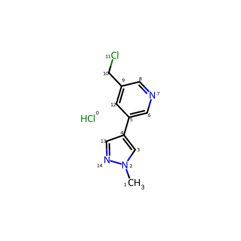 Cl.Cn1cc(-c2cncc(CCl)c2)cn1